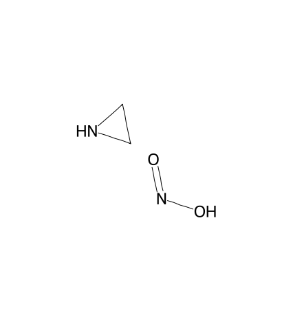 C1CN1.O=NO